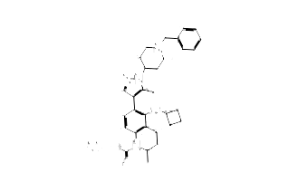 COC(=O)N1c2ccc(-c3cnn(C4CCN(Cc5ccccc5)CC4)c3F)c(OC3CCC3)c2CCC1C